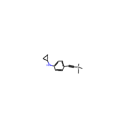 C[Si](C)(C)C#Cc1ccc(NC2CC2)cc1